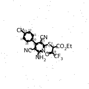 CCOC(=O)C(Sc1nc(N)c(C#N)c(-c2ccc(Cl)cc2)c1C#N)C(=O)C(F)(F)F